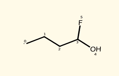 [CH2]CCC(O)F